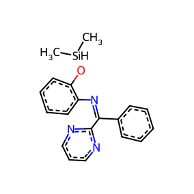 C[SiH](C)Oc1ccccc1N=C(c1ccccc1)c1ncccn1